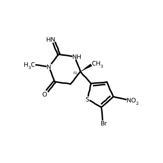 CN1C(=N)N[C@](C)(c2cc([N+](=O)[O-])c(Br)s2)CC1=O